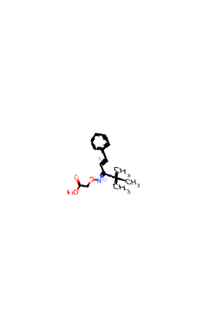 CC(C)(C)C(/C=C/c1ccccc1)=N/OCC(=O)O